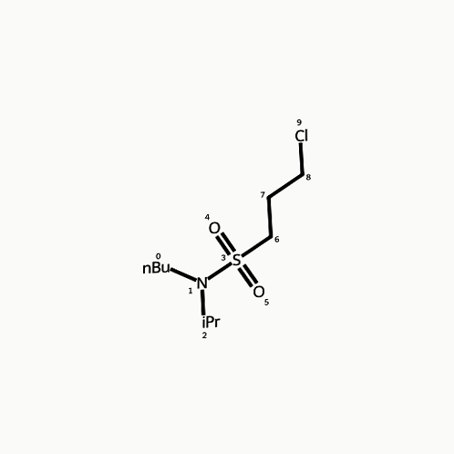 CCCCN(C(C)C)S(=O)(=O)CCCCl